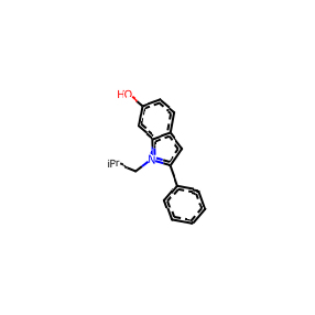 CC(C)Cn1c(-c2ccccc2)cc2ccc(O)cc21